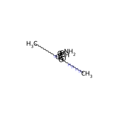 CC/C=C/C/C=C/C/C=C/C/C=C/CCCCC(=O)O[C@H](CO/C=C/CCCCCCCCCCCCCCCC)COP(=O)(O)OCCN